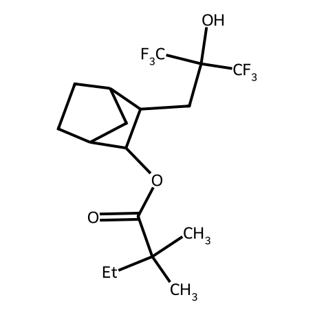 CCC(C)(C)C(=O)OC1C2CCC(C2)C1CC(O)(C(F)(F)F)C(F)(F)F